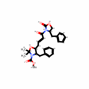 CC(C)(C)OC(=O)N1C(Cc2ccccc2)C(CC=CC(=O)N2C(=O)OCC2Cc2ccccc2)OC1(C)C